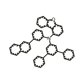 c1ccc(-c2cc(-c3ccccc3)cc(N(c3cccc(-c4ccc5ccccc5c4)c3)c3cccc4oc5ccccc5c34)c2)cc1